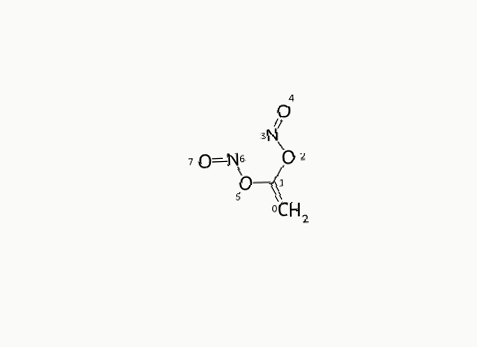 C=C(ON=O)ON=O